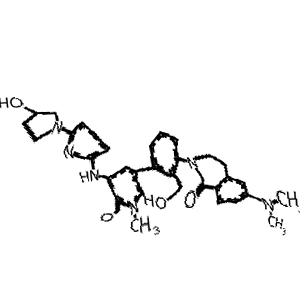 CN(C)c1ccc2c(c1)CCN(c1cccc(-c3cc(Nc4cccc(N5CCC(O)C5)n4)c(=O)n(C)c3)c1CO)C2=O